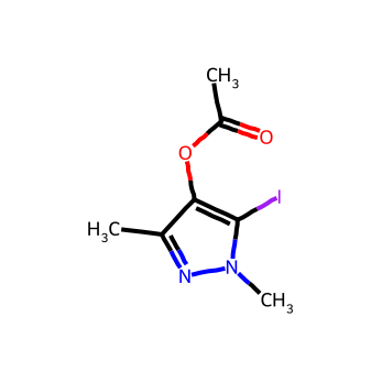 CC(=O)Oc1c(C)nn(C)c1I